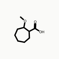 COC1CCCCCC1C(=O)O